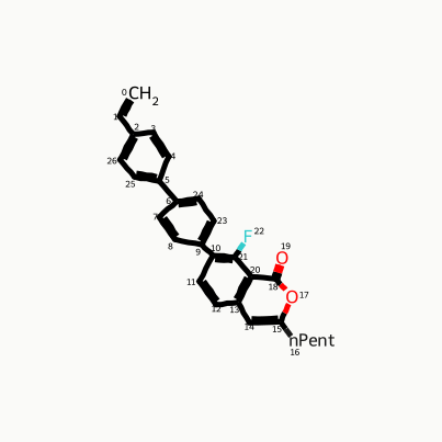 C=Cc1ccc(-c2ccc(-c3ccc4cc(CCCCC)oc(=O)c4c3F)cc2)cc1